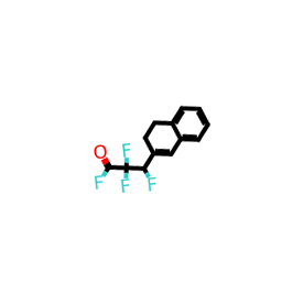 O=C(F)C(F)(F)C(F)C1=Cc2ccccc2CC1